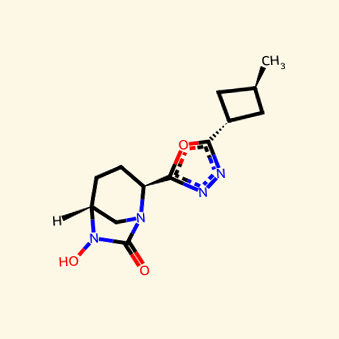 C[C@H]1C[C@H](c2nnc([C@@H]3CC[C@@H]4CN3C(=O)N4O)o2)C1